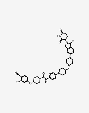 N#Cc1ccc(O[C@H]2CC[C@H](C(=O)Nc3ccc(N4CCC(CN5CCN(c6ccc7c(c6)CN(C6CCC(=O)NC6=O)C7=O)CC5)CC4)cn3)CC2)cc1Cl